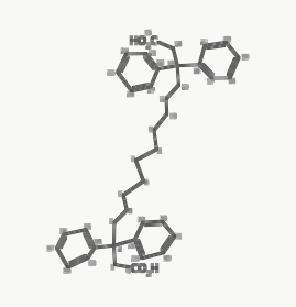 O=C(O)CC(CCCCCCCCCCC(CC(=O)O)(c1ccccc1)c1ccccc1)(c1ccccc1)c1ccccc1